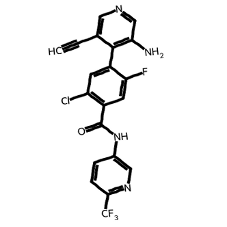 C#Cc1cncc(N)c1-c1cc(Cl)c(C(=O)Nc2ccc(C(F)(F)F)nc2)cc1F